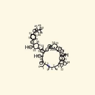 CCC1/C=C(\C)CC(C)CC(OC)C2OC(O)(C(=O)C(=O)N3CCCCC3C(=O)OC(C(C)=CC3CCC(Oc4ccc(O[Si](C)(C)C(C)(C)C)cc4)C(O)C3)C(C)C(O)CC1=O)C(C)CC2OC